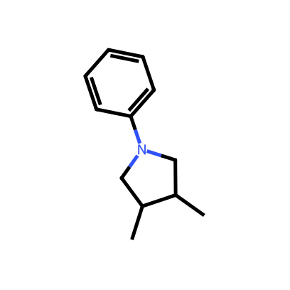 CC1CN(c2ccccc2)CC1C